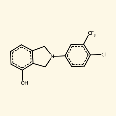 Oc1cccc2c1CN(c1ccc(Cl)c(C(F)(F)F)c1)C2